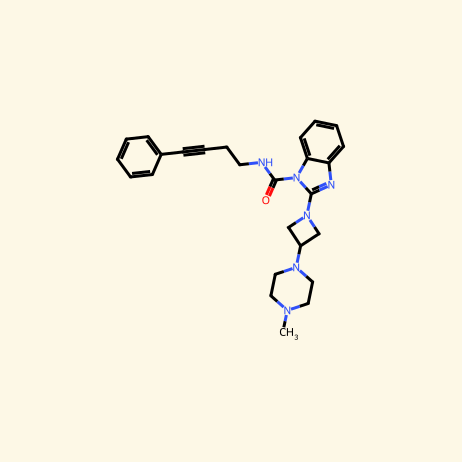 CN1CCN(C2CN(c3nc4ccccc4n3C(=O)NCCC#Cc3ccccc3)C2)CC1